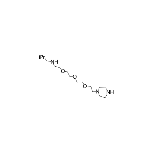 CC(C)CNCCOCCOCCOCCN1CCNCC1